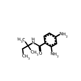 CCC(C)(C)NC(=O)c1ccc(N)cc1N